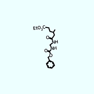 CCOC(=O)CCC(C)CC(=O)NCNC(=O)OCc1ccccc1